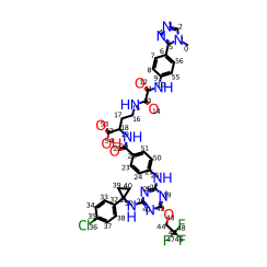 Cn1cnnc1-c1ccc(NC(=O)C(=O)NCCC(NC(=O)c2ccc(Nc3nc(NC4(c5ccc(Cl)cc5)CC4)nc(OCC(F)(F)F)n3)cc2)C(=O)O)cc1